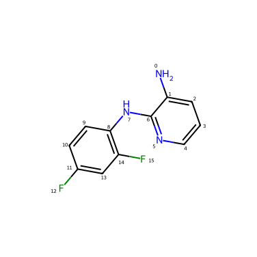 Nc1cccnc1Nc1ccc(F)cc1F